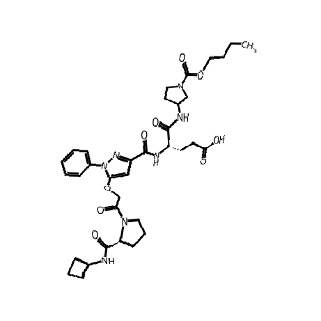 CCCCOC(=O)N1CCC(NC(=O)[C@H](CCC(=O)O)NC(=O)c2cc(OCC(=O)N3CCC[C@H]3C(=O)NC3CCC3)n(-c3ccccc3)n2)C1